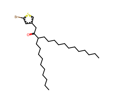 CCCCCCCCCCCCC(CCCCCCCCCC)C(=O)Cc1csc(Br)c1